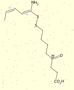 C/C=C\C=C(/N)SSCCCC[PH](=O)CCC(=O)O